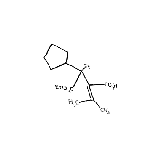 CCOC(=O)C(CC)(C(C(=O)O)=C(C)C)C1CCCC1